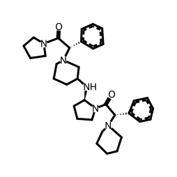 O=C([C@H](c1ccccc1)N1CCCC(N[C@@H]2CCCN2C(=O)[C@H](c2ccccc2)N2CCCCC2)C1)N1CCCC1